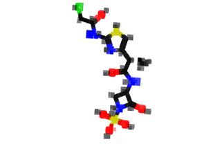 O=C(CCl)Nc1nc(CC(=O)NC2CN(S(=O)(=O)[O-])C2=O)cs1.[Na+]